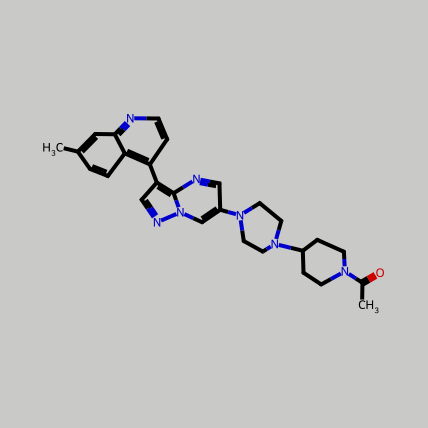 CC(=O)N1CCC(N2CCN(c3cnc4c(-c5ccnc6cc(C)ccc56)cnn4c3)CC2)CC1